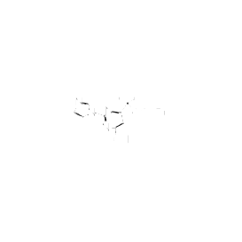 CCOC(=O)C(C)(C)c1cc(C)nc(-n2ccnc2)n1